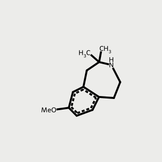 COc1ccc2c(c1)CC(C)(C)NCC2